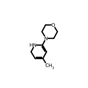 CC1=CCNC(N2CCOCC2)=C1